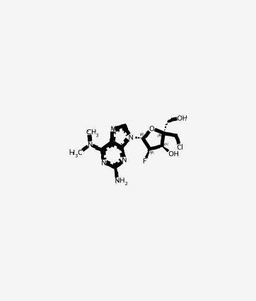 CN(C)c1nc(N)nc2c1ncn2[C@@H]1O[C@@](CO)(CCl)[C@@H](O)[C@H]1F